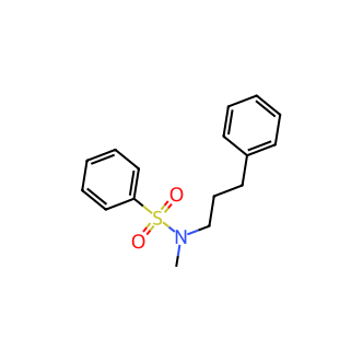 CN(CCCc1ccccc1)S(=O)(=O)c1ccccc1